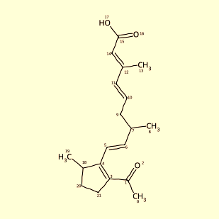 CC(=O)C1=C(/C=C/C(C)C/C=C/C(C)=C/C(=O)O)C(C)CC1